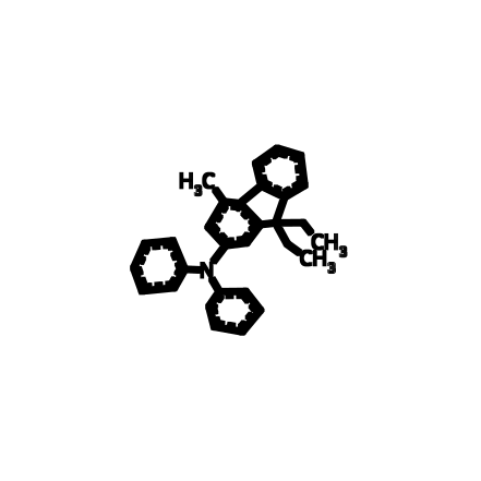 CCC1(CC)c2ccccc2-c2c(C)cc(N(c3ccccc3)c3ccccc3)cc21